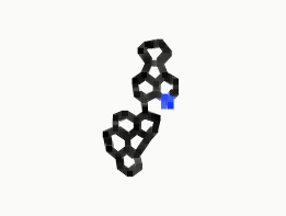 c1ccc2c(c1)-c1ccnc3c(-c4ccc5c6c4ccc4ccc7cccc-5c7c46)ccc-2c13